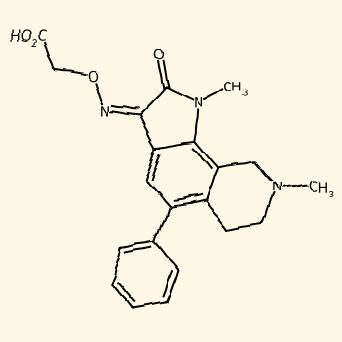 CN1CCc2c(-c3ccccc3)cc3c(c2C1)N(C)C(=O)C3=NOCC(=O)O